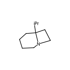 CC(C)C12CCCCN1CC2